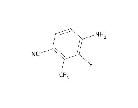 N#Cc1ccc(N)[c]([Y])c1C(F)(F)F